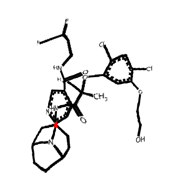 CC(C)(Oc1cc(OCCO)c(Cl)cc1Cl)C(=O)NC1CC2CCC(C1)N2c1ccc(C(=O)NCC(F)F)cn1